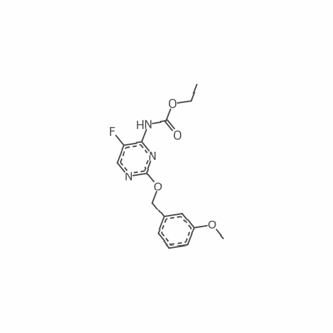 CCOC(=O)Nc1nc(OCc2cccc(OC)c2)ncc1F